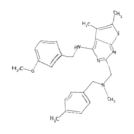 COc1cccc(CNc2nc(CN(C)Cc3ccc(C)cc3)nc3sc(C)c(C)c23)c1